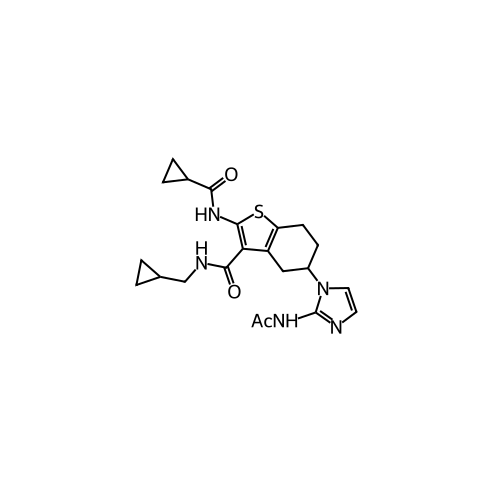 CC(=O)Nc1nccn1C1CCc2sc(NC(=O)C3CC3)c(C(=O)NCC3CC3)c2C1